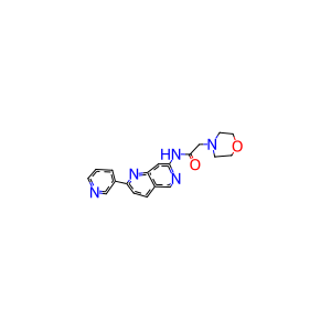 O=C(CN1CCOCC1)Nc1cc2nc(-c3cccnc3)ccc2cn1